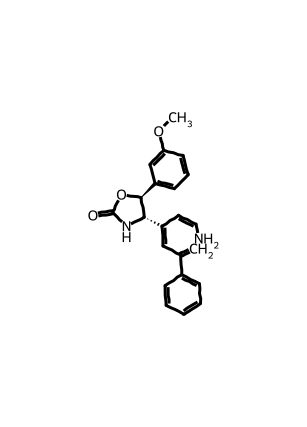 C=C(/C=C(\C=C/N)[C@@H]1NC(=O)O[C@H]1c1cccc(OC)c1)c1ccccc1